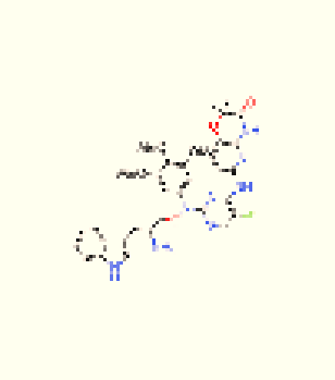 COc1cc(N(OC[C@@H](N)Cc2c[nH]c3ccccc23)c2ncc(F)c(Nc3ccc4c(n3)NC(=O)C(C)(C)O4)n2)cc(OC)c1OC